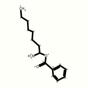 CCCCCCCC(N)OC(=O)c1ccccc1